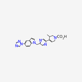 CC1CN(C(=O)O)CC=C1c1cnc(Cn2ccc3cc(-n4cncn4)ccc32)cn1